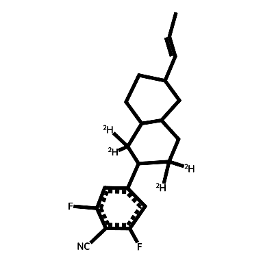 [2H]C1([2H])CC2CC(/C=C/C)CCC2C([2H])([2H])C1c1cc(F)c(C#N)c(F)c1